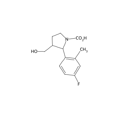 Cc1cc(F)ccc1C1C(CO)CCN1C(=O)O